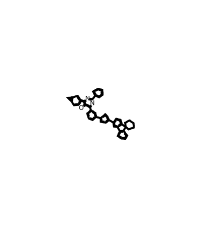 C1=C2C=c3c(oc4c(-c5cccc(-c6ccc(-c7ccc8c(c7)-c7ccccc7C87CCCCC7)cc6)c5)nc(-c5ccccc5)nc34)=CC12